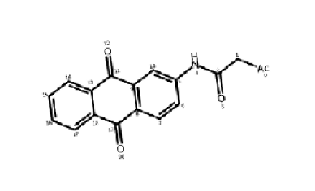 CC(=O)CC(=O)Nc1ccc2c(c1)C(=O)c1ccccc1C2=O